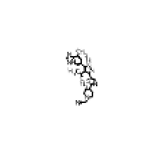 Cc1cc(-c2[nH]nc(-c3cnc(C4CCN(CC#N)CC4)s3)c2C(C)C)cn2ncnc12